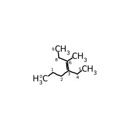 CCCC(CC)=C(C)CC